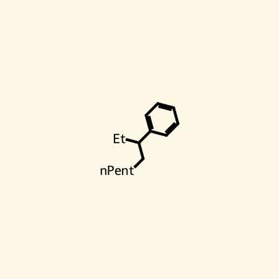 CCC[CH]CCC(CC)c1ccccc1